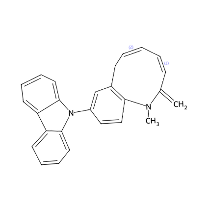 C=C1/C=C\C=C/Cc2cc(-n3c4ccccc4c4ccccc43)ccc2N1C